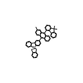 Cc1ccc2c(-c3ccc4c(c3)-c3ccccc3[Si]43Cc4ccccc4C3)c3ccccc3c(-c3cccc4c3-c3ccccc3C4(C)C)c2c1